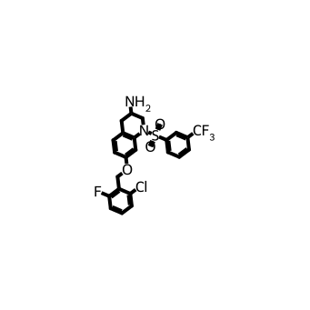 NC1Cc2ccc(OCc3c(F)cccc3Cl)cc2N(S(=O)(=O)c2cccc(C(F)(F)F)c2)C1